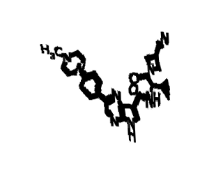 CN1CCN(c2ccc(-c3cnc4[nH]cc(C(=O)N[C@@H](C(=O)N5CC(C#N)C5)C5CC5)c4n3)cc2)CC1